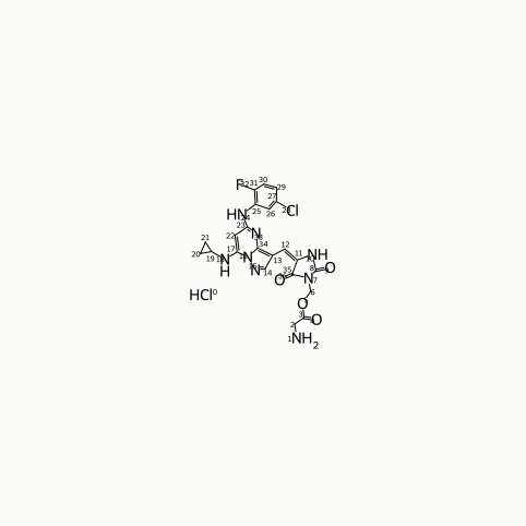 Cl.NCC(=O)OCN1C(=O)NC(=Cc2cnn3c(NC4CC4)cc(Nc4cc(Cl)ccc4F)nc23)C1=O